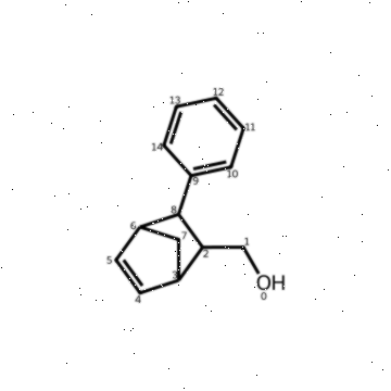 OCC1C2C=CC(C2)C1c1ccccc1